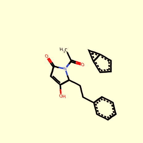 CC(=O)N1C(=O)C=C(O)C1CCc1ccccc1.c1cc2cc-2c1